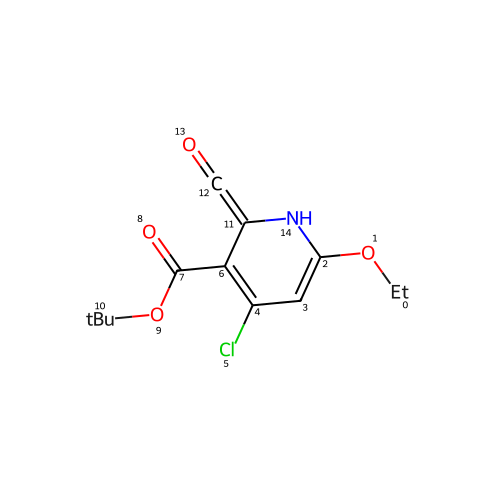 CCOC1=CC(Cl)=C(C(=O)OC(C)(C)C)C(=C=O)N1